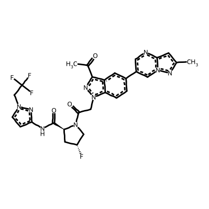 CC(=O)c1nn(CC(=O)N2C[C@H](F)C[C@H]2C(=O)Nc2ccn(CC(F)(F)F)n2)c2ccc(-c3cnc4cc(C)nn4c3)cc12